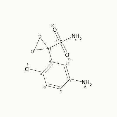 Nc1ccc(Cl)c(C2(S(N)(=O)=O)CC2)c1